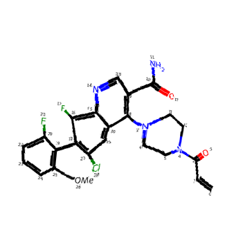 C=CC(=O)N1CCN(c2c(C(N)=O)cnc3c(F)c(-c4c(F)cccc4OC)c(Cl)cc23)CC1